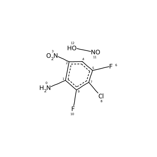 Nc1c([N+](=O)[O-])cc(F)c(Cl)c1F.O=NO